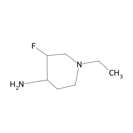 CCN1CCC(N)C(F)C1